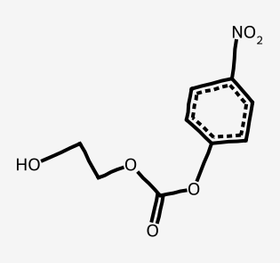 O=C(OCCO)Oc1ccc([N+](=O)[O-])cc1